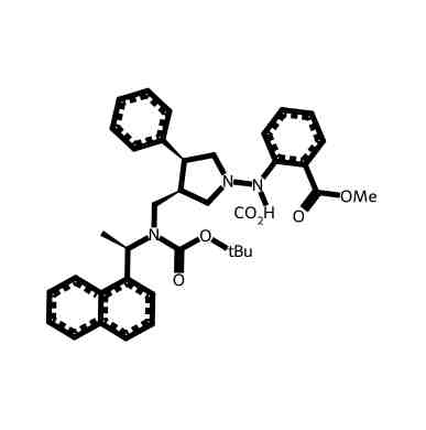 COC(=O)c1ccccc1N(C(=O)O)N1C[C@@H](CN(C(=O)OC(C)(C)C)[C@H](C)c2cccc3ccccc23)[C@@H](c2ccccc2)C1